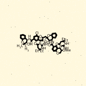 CCC1(CC)CC(=O)N([C@@H]2CC(CC3(C)Oc4ccccc4[C@@H](NC(=O)c4ccc5c(c4)[C@H](N4C(=N)NC(CC)(CC)CC4=O)C(OC)CO5)[C@@H]3O)Oc3c(Cl)cc(C(=O)N[C@H]4c5ccccc5OC(C)(C)[C@@H]4O)cc32)C(=N)N1